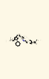 CC(/C=N\[C@H](C)NC1=NCC2C=C(C(=O)N(C)C)N(C3CCCCCC3)C2N1)C(=O)N1CC2CC1CN2C(=O)OC(C)(C)C